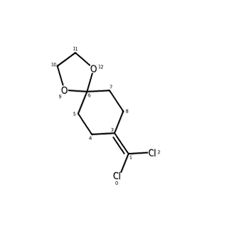 ClC(Cl)=C1CCC2(CC1)OCCO2